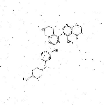 Cc1c(-c2nc(Nc3cccc(CN4CCN(C)CC4)c3)nc3c2CCNC3)cnc2c1NCCO2